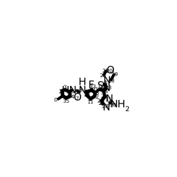 Cc1ccc(NC(=O)Nc2cccc(-c3sc(N4CCOCC4)nc3-c3ccnc(N)n3)c2F)cc1